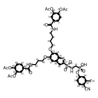 CC(=O)Oc1ccc(C(=O)NCCCCOc2cc3sc(S(=O)(=O)NCP(=O)(O)Oc4ccc(C#N)c(F)c4)cc3cc2OCCCNC(=O)c2ccc(OC(C)=O)c(OC(C)=O)c2)cc1OC(C)=O